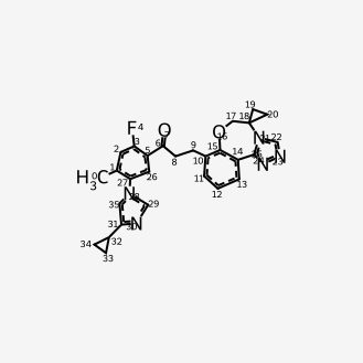 Cc1cc(F)c(C(=O)CCc2cccc3c2OCC2(CC2)n2cnnc2-3)cc1-n1cnc(C2CC2)c1